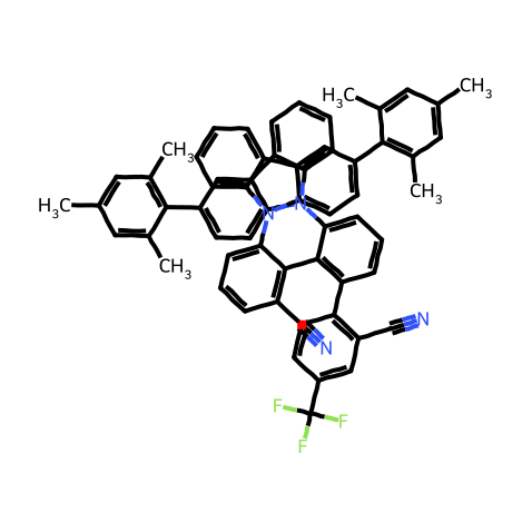 Cc1cc(C)c(-c2ccc3c(c2)c2ccccc2n3-c2cccc(C#N)c2-c2c(-c3ccc(C(F)(F)F)cc3C#N)cccc2-n2c3ccccc3c3cc(-c4c(C)cc(C)cc4C)ccc32)c(C)c1